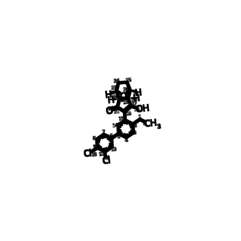 CCc1ccc(-c2ccc(Cl)c(Cl)c2)cc1C1=C(O)[C@H]2[C@@H](C1=O)[C@@H]1CC[C@H]2O1